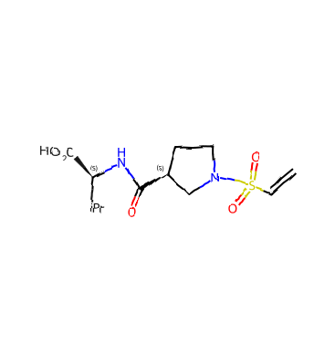 C=CS(=O)(=O)N1CC[C@H](C(=O)N[C@H](C(=O)O)C(C)C)C1